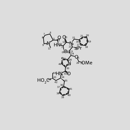 CCC(C)C(NC(=O)C1CCCCN1C)C(=O)N(Cc1ccccc1)[C@H](C[C@@H](OCOC)c1nc(C(=O)N[C@@H](Cc2ccccc2)C[C@H](C)C(=O)O)cs1)C(C)C